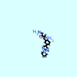 CC(N)(Cc1cccc(-c2cnc(N3CCCCC3)nc2)c1)C(=O)CN